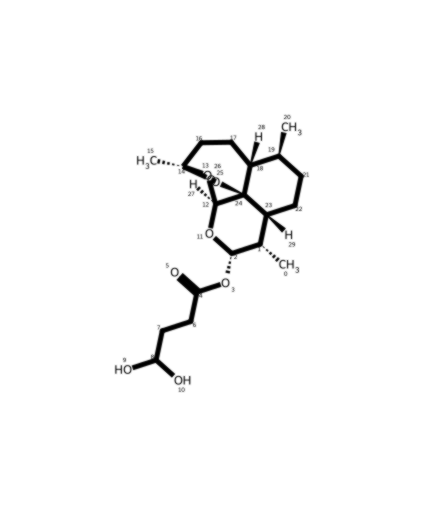 C[C@@H]1[C@H](OC(=O)CCC(O)O)O[C@H]2O[C@]3(C)CC[C@@H]4[C@@H](C)CC[C@H]1[C@]24OO3